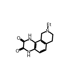 CCN1CCc2ccc3[nH]c(=O)c(=O)[nH]c3c2C1